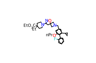 CCCOc1cc(CN2CC3(CC(N4CCC(CC)(C(=O)OCC)CC4)=NO3)C2)cc(C2CC2)c1-c1ccccc1F